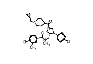 CN(C[C@@H]1CN(C(=O)C2CCN(CC3CC3)CC2)C[C@H]1c1ccc(Cl)cc1)C(=O)c1ccc(Cl)c(C(F)(F)F)c1